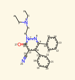 CCN(CC)CCn1nc(-c2ccccc2)c(-c2ccccc2)c(C#N)c1=O